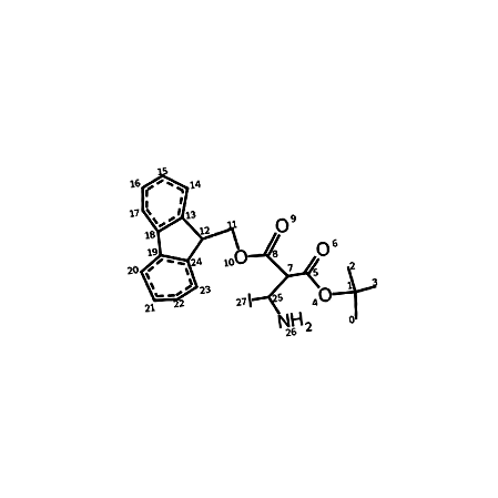 CC(C)(C)OC(=O)C(C(=O)OCC1c2ccccc2-c2ccccc21)C(N)I